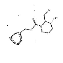 CC(=O)C[C@H]1[C@H](O)CCCN1C(=O)OCc1ccccc1